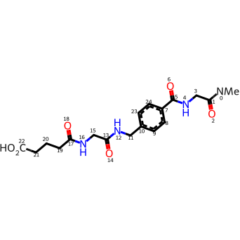 CNC(=O)CNC(=O)c1ccc(CNC(=O)CNC(=O)CCCC(=O)O)cc1